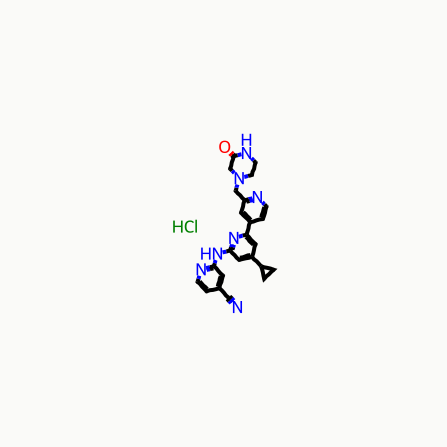 Cl.N#Cc1ccnc(Nc2cc(C3CC3)cc(-c3ccnc(CN4CCNC(=O)C4)c3)n2)c1